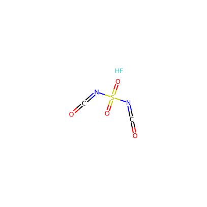 F.O=C=NS(=O)(=O)N=C=O